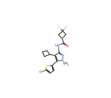 Cn1nc(NC(=O)C2CC(F)(F)C2)c(C2CCC2)c1-c1ccc(Cl)s1